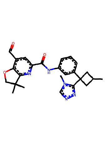 CC1CC(c2cccc(NC(=O)c3cc(C=O)c4c(n3)C(C)(C)CO4)c2)(c2nncn2C)C1